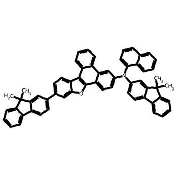 CC1(C)c2ccccc2-c2ccc(-c3ccc4c(c3)oc3c5ccc(N(c6ccc7c(c6)C(C)(C)c6ccccc6-7)c6cccc7ccccc67)cc5c5ccccc5c43)cc21